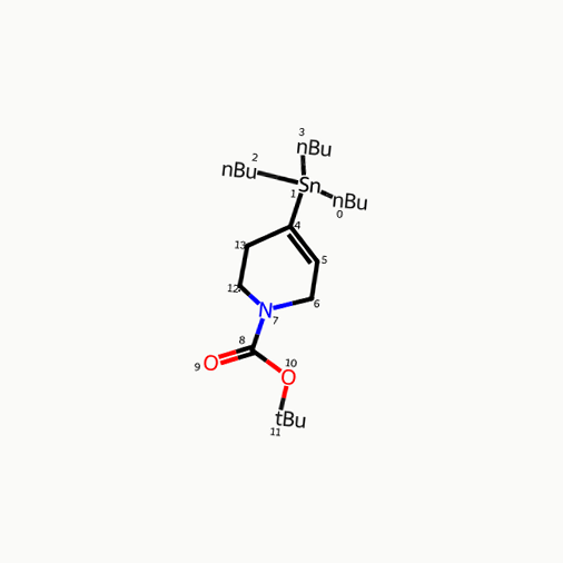 CCC[CH2][Sn]([CH2]CCC)([CH2]CCC)[C]1=CCN(C(=O)OC(C)(C)C)[CH]C1